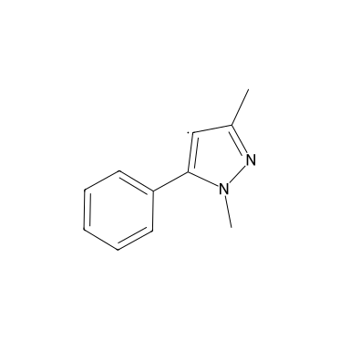 Cc1[c]c(-c2ccccc2)n(C)n1